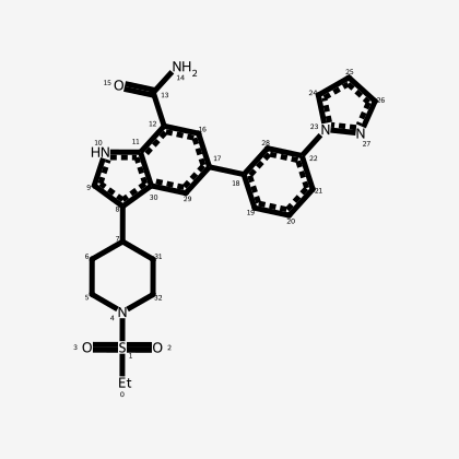 CCS(=O)(=O)N1CCC(c2c[nH]c3c(C(N)=O)cc(-c4cccc(-n5cccn5)c4)cc23)CC1